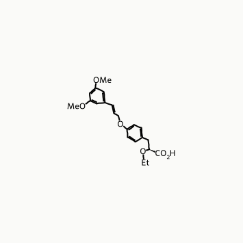 CCO[C@@H](Cc1ccc(OC/C=C/c2cc(OC)cc(OC)c2)cc1)C(=O)O